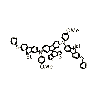 CCn1c2cc(Sc3ccccc3)ccc2c2ccc(N(c3ccc(OC)cc3)c3ccc4c(c3)C3(c5cc(N(c6ccc(OC)cc6)c6ccc7c8ccc(Sc9ccccc9)cc8n(CC)c7c6)ccc5-4)c4ccsc4-c4sccc43)cc21